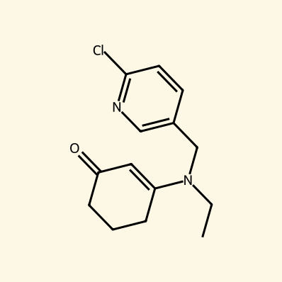 CCN(Cc1ccc(Cl)nc1)C1=CC(=O)CCC1